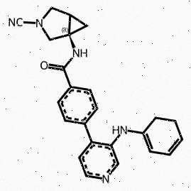 N#CN1CC2C[C@]2(NC(=O)c2ccc(-c3ccncc3NC3=CC=CCC3)cc2)C1